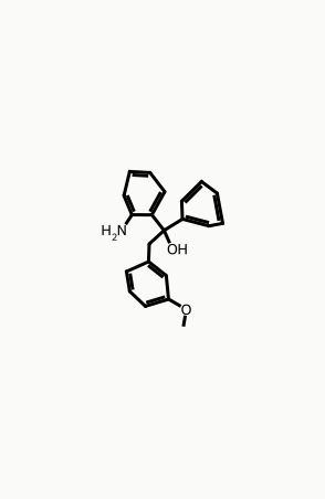 COc1cccc(CC(O)(c2ccccc2)c2ccccc2N)c1